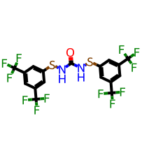 O=C(NSc1cc(C(F)(F)F)cc(C(F)(F)F)c1)NSc1cc(C(F)(F)F)cc(C(F)(F)F)c1